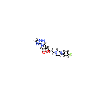 O=C1O[C@@H](CCN2CCN(c3ccc(F)cc3)CC2)CC12CCN(c1ncc[nH]1)CC2